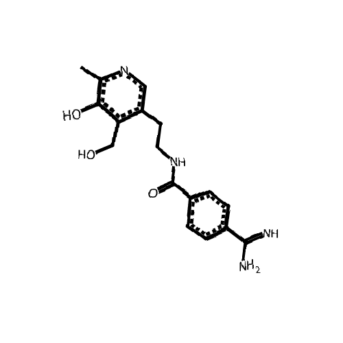 Cc1ncc(CCNC(=O)c2ccc(C(=N)N)cc2)c(CO)c1O